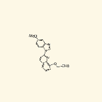 COc1ccc2c(c1)ncn2-c1ccc2cccc(OCC=O)c2n1